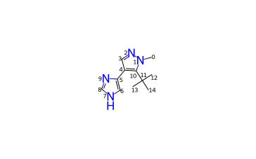 Cn1ncc(-c2c[nH]cn2)c1C(C)(C)C